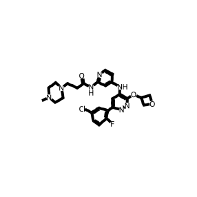 CN1CCN(CCC(=O)Nc2cc(Nc3cc(-c4cc(Cl)ccc4F)nnc3OC3COC3)ccn2)CC1